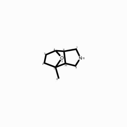 CC12CCC(O1)C1C[N]CC12